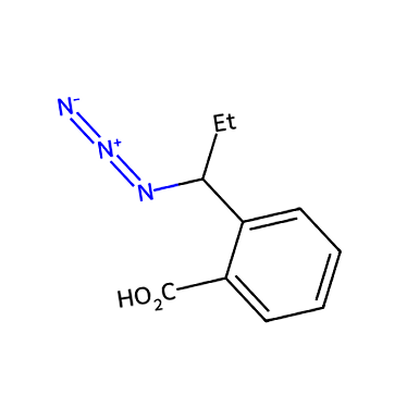 CCC(N=[N+]=[N-])c1ccccc1C(=O)O